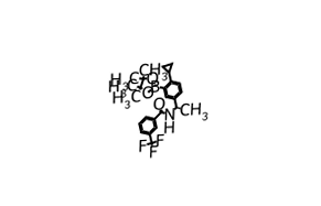 C[C@@H](NC(=O)c1cccc(C(F)(F)F)c1)c1ccc(C2CC2)c(B2OC(C)(C)C(C)(C)O2)c1